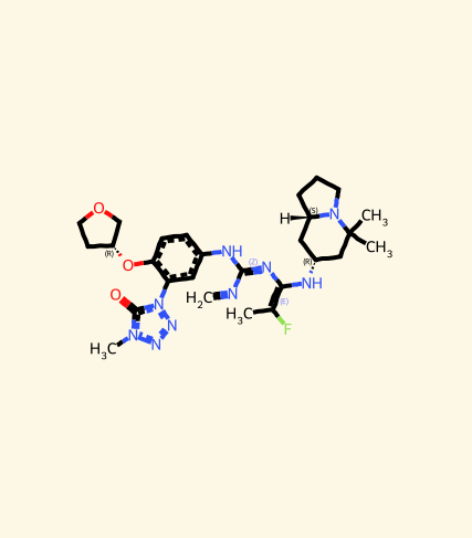 C=N/C(=N\C(N[C@@H]1C[C@@H]2CCCN2C(C)(C)C1)=C(/C)F)Nc1ccc(O[C@@H]2CCOC2)c(-n2nnn(C)c2=O)c1